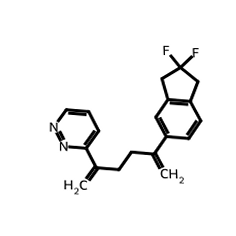 C=C(CCC(=C)c1cccnn1)c1ccc2c(c1)CC(F)(F)C2